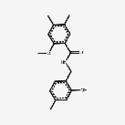 COc1cc(C)c(C)cc1C(=O)NCc1ccc(C)cc1O